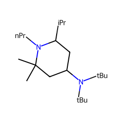 CCCN1C(C(C)C)CC(N(C(C)(C)C)C(C)(C)C)CC1(C)C